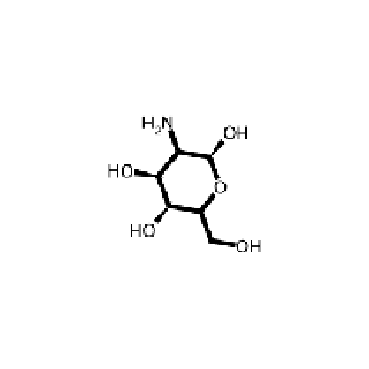 NC1[C@@H](O)OC(CO)[C@@H](O)[C@H]1O